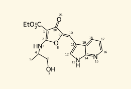 CCOC(=O)C1=C(NC(C)CO)O/C(=C\c2c[nH]c3ncccc23)C1=O